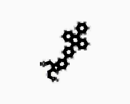 C=Cc1c(/C=C\C)oc2ccc(-c3ccc(-c4c5ccccc5c(-c5ccccc5)c5ccccc45)cc3)cc12